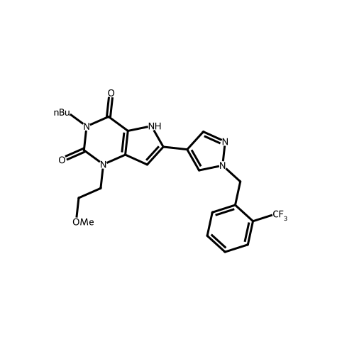 CCCCn1c(=O)c2[nH]c(-c3cnn(Cc4ccccc4C(F)(F)F)c3)cc2n(CCOC)c1=O